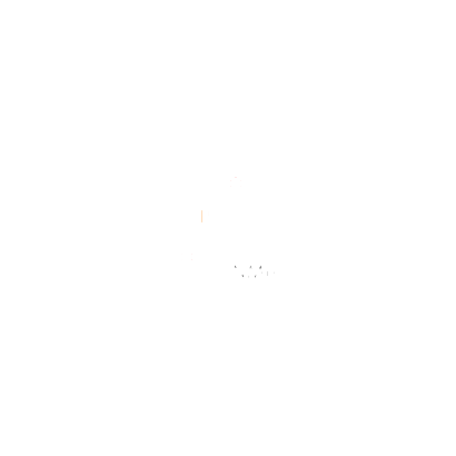 CNC1CC(=O)P(C)C1=O